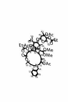 CCC(=O)O[C@@H]1CC(=O)O[C@H](C)CCN(Cc2ccccc2)C[C@H](OC(C)=O)[C@H](C)C[C@H](CC(OC)OC)[C@H]([C@@H]2O[C@H](C)[C@@H](O[C@@H]3C[C@@](C)(OC(C)=O)[C@@H](OC(=O)CC)[C@H](C)O3)[C@H](N(C)C)[C@H]2OC(C)=O)[C@@H]1OC